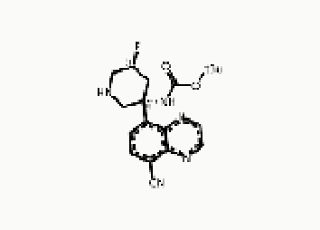 CC(C)(C)OC(=O)N[C@]1(c2ccc(C#N)c3nccnc23)CNC[C@@H](F)C1